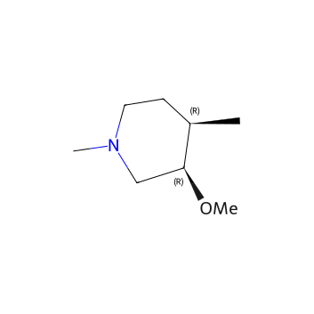 CO[C@H]1CN(C)CC[C@H]1C